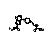 CC(C)(C)C(=O)NCCN1CCN(c2ncnc3cc(C(N)=O)oc23)CC1